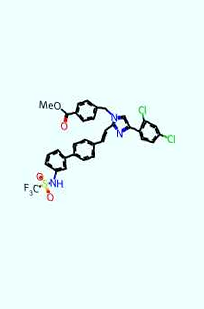 COC(=O)c1ccc(Cn2cc(-c3ccc(Cl)cc3Cl)nc2C=Cc2ccc(-c3cccc(NS(=O)(=O)C(F)(F)F)c3)cc2)cc1